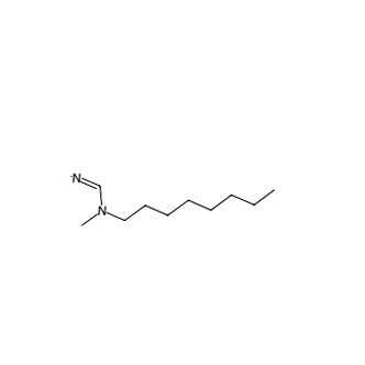 CCCCCCCCN(C)C=[N]